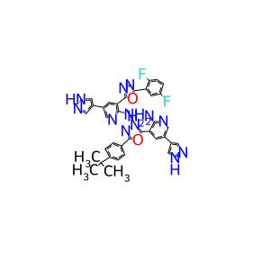 CC(C)(C)c1ccc(-c2nnc(-c3cc(-c4cn[nH]c4)cnc3N)o2)cc1.Nc1ncc(-c2cn[nH]c2)cc1-c1nnc(-c2cc(F)ccc2F)o1